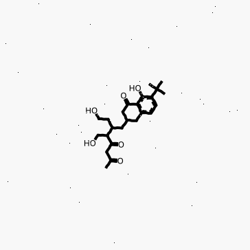 CC(=O)CC(=O)C(CO)C(CCO)CC1CC(=O)c2c(ccc(C(C)(C)C)c2O)C1